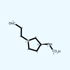 O=CCCN1CC[C@H](NC(=O)O)C1